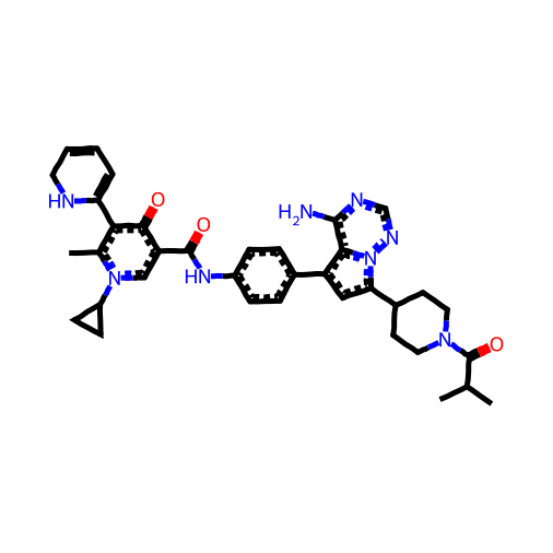 Cc1c(C2=CC=CCN2)c(=O)c(C(=O)Nc2ccc(-c3cc(C4CCN(C(=O)C(C)C)CC4)n4ncnc(N)c34)cc2)cn1C1CC1